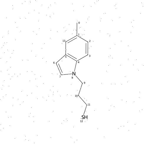 Cc1ccc2c(ccn2CCCS)c1